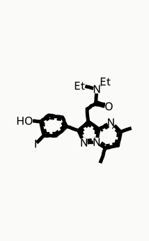 CCN(CC)C(=O)Cc1c(-c2ccc(O)c(I)c2)nn2c(C)cc(C)nc12